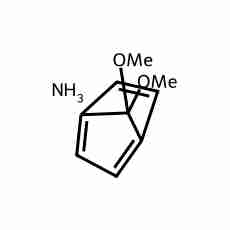 COC1(OC)C2=CC=C1C=C2.N